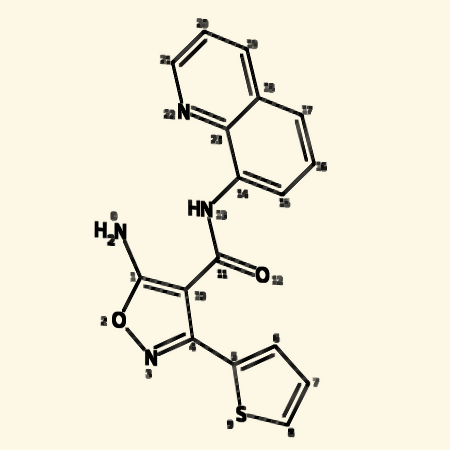 Nc1onc(-c2cccs2)c1C(=O)Nc1cccc2cccnc12